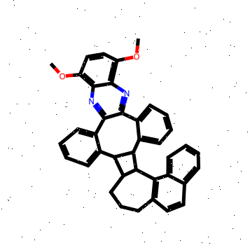 COc1ccc(OC)c2nc3c(nc12)-c1ccccc1C1C2CCCc4ccc5ccccc5c4C2C1c1ccccc1-3